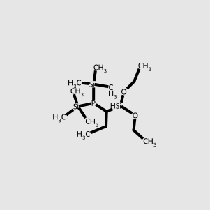 CCO[SiH](OCC)C(CC)P([Si](C)(C)C)[Si](C)(C)C